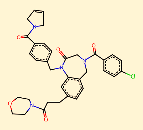 O=C(CCc1ccc2c(c1)N(Cc1ccc(C(=O)N3CC=CC3)cc1)C(=O)CN(C(=O)c1ccc(Cl)cc1)C2)N1CCOCC1